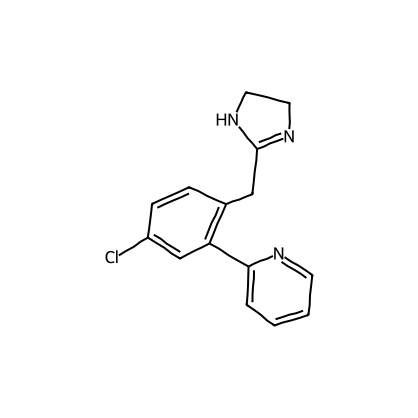 Clc1ccc(CC2=NCCN2)c(-c2ccccn2)c1